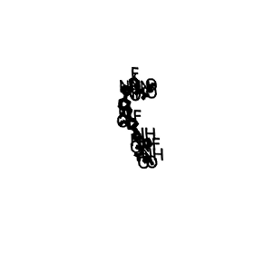 COC(=O)N[C@H](C(=O)N1C[C@H](F)C[C@H]1c1ncc(-c2cc(F)c(-c3cc4cc(-c5cnc([C@@H]6C[C@@H](F)CN6C(=O)[C@@H](NC(=O)OC)C(C)C)[nH]5)ccc4n3C)c(OC)c2)[nH]1)C(C)C